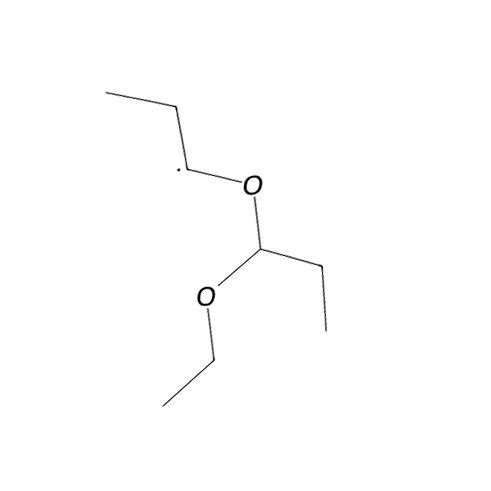 CC[CH]OC(CC)OCC